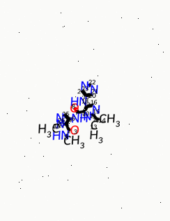 CNC(=O)c1c(NC(=O)c2nc(C(C)C)ncc2Nc2cncnc2)cnn1C